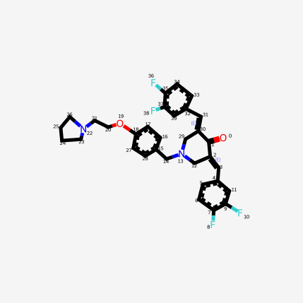 O=C1/C(=C/c2ccc(F)c(F)c2)CN(Cc2ccc(OCCN3CCCC3)cc2)C/C1=C\c1ccc(F)c(F)c1